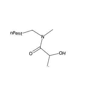 [CH2]C(O)C(=O)N(C)CCCCCC